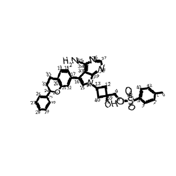 Cc1ccc(S(=O)(=O)OCC2(O)CC(n3cc(-c4ccc5c(c4)OC(c4ccccc4)CC5)c4c(N)ncnc43)C2)cc1